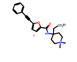 CCOC(=O)CC1(NC(=O)c2ccc(C#Cc3ccccc3)o2)CC[N+](C)(C)CC1.[I-]